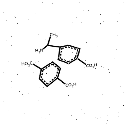 CC(N)c1ccc(C(=O)O)cc1.O=C(O)c1ccc(C(=O)O)cc1